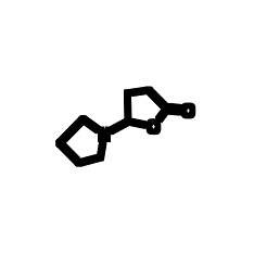 O=C1CCC(N2CCCC2)O1